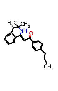 CCCCc1ccc(C(=O)C=C2NC(C)(C)Cc3ccccc32)cc1